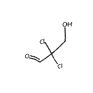 O=CC(Cl)(Cl)CO